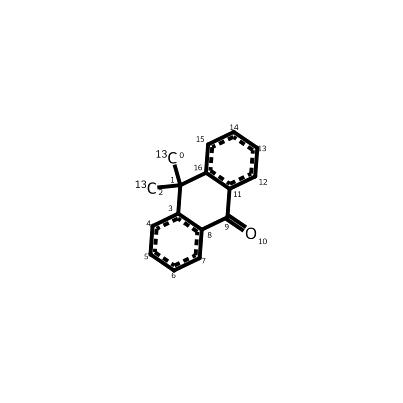 [13CH3]C1([13CH3])c2ccccc2C(=O)c2ccccc21